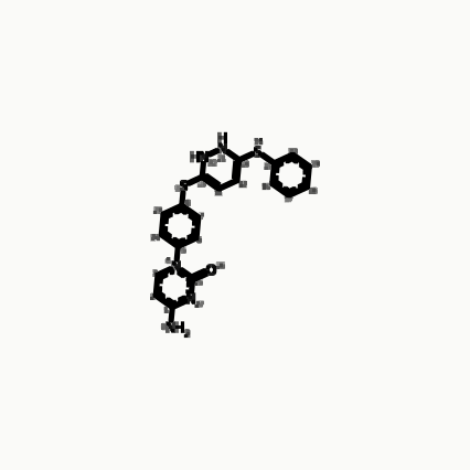 Nc1ccn(-c2ccc(SC3=CC=C(Sc4ccccc4)NN3)cc2)c(=O)n1